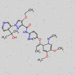 C=NC1C=C(OC)C(OC)=CC1/C(=C\C)Oc1ccc(NC(=O)c2nn(-c3cnccc3C(C)(C)O)cc2OCC)nc1